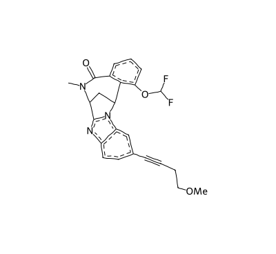 COCCC#Cc1ccc2nc3n(c2c1)C1CC3N(C)C(=O)c2cccc(OC(F)F)c21